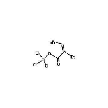 CCCC=C(CC)C(=O)O[Si](Cl)(Cl)Cl